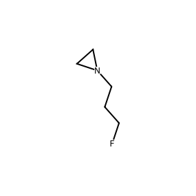 FCCCN1CC1